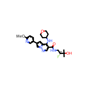 COc1ccc(-c2cc3c(NC4CCOCC4)c(C(=O)NC[C@@H](F)C(C)(C)O)cnn3c2)cn1